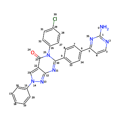 Nc1nccc(-c2ccc(-c3nc4nn(-c5ccccc5)cc4c(=O)n3-c3ccc(Cl)cc3)cc2)n1